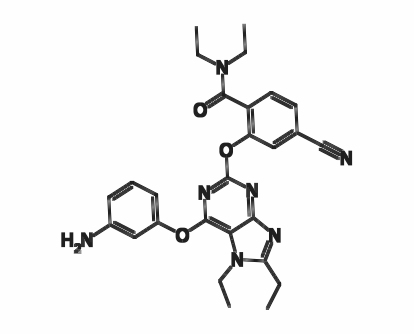 CCc1nc2nc(Oc3cc(C#N)ccc3C(=O)N(CC)CC)nc(Oc3cccc(N)c3)c2n1CC